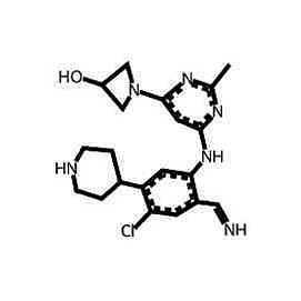 Cc1nc(Nc2cc(C3CCNCC3)c(Cl)cc2C=N)cc(N2CC(O)C2)n1